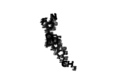 CCC[C@H]1CC[C@H](c2cc(F)c(C(F)(F)OCCc3ccc(C#N)c(F)c3)c(F)c2)CC1